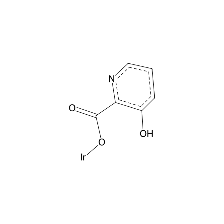 O=C([O][Ir])c1ncccc1O